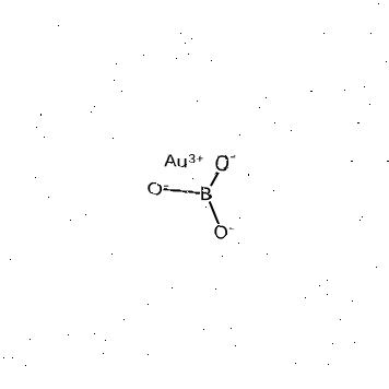 [Au+3].[O-]B([O-])[O-]